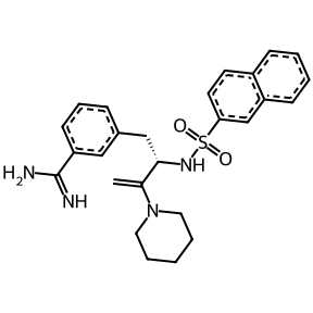 C=C([C@H](Cc1cccc(C(=N)N)c1)NS(=O)(=O)c1ccc2ccccc2c1)N1CCCCC1